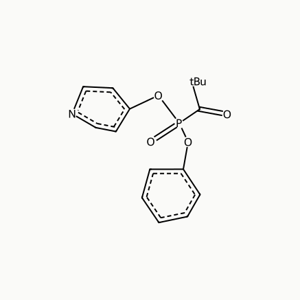 CC(C)(C)C(=O)P(=O)(Oc1ccccc1)Oc1ccncc1